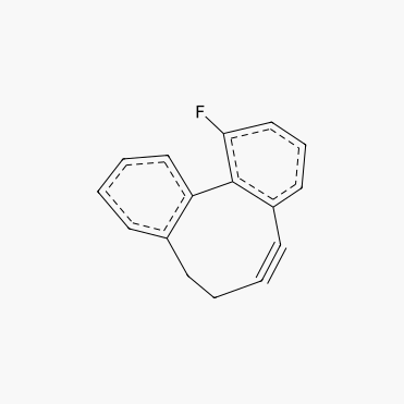 Fc1cccc2c1-c1ccccc1CCC#C2